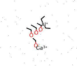 CC[O-].CC[O-].CC[O-].CC[O-].C[CH2][Al+][CH2]C.[Ga+3]